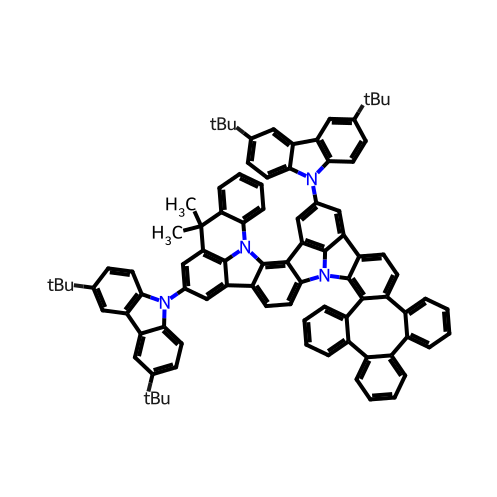 CC(C)(C)c1ccc2c(c1)c1cc(C(C)(C)C)ccc1n2-c1cc2c3c(c1)c1ccc4c(c5cc(-n6c7ccc(C(C)(C)C)cc7c7cc(C(C)(C)C)ccc76)cc6c7ccc8c(c7n4c65)-c4ccccc4-c4ccccc4-c4ccccc4-8)c1n3-c1ccccc1C2(C)C